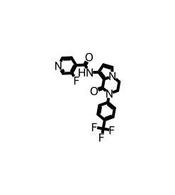 O=C(Nc1ccn2c1C(=O)N(c1ccc(C(F)(F)F)cc1)CC2)c1ccncc1F